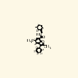 Cc1cc(C(=O)NCC2CCCCC2)c2oc(C)c(-c3ccccc3)c2c1